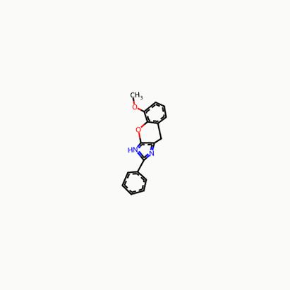 COc1cccc2c1Oc1[nH]c(-c3ccccc3)nc1C2